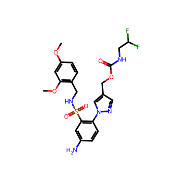 COc1ccc(CNS(=O)(=O)c2cc(N)ccc2-n2cc(COC(=O)NCC(F)F)cn2)c(OC)c1